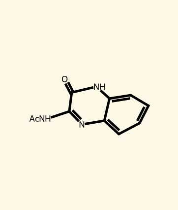 CC(=O)Nc1nc2ccccc2[nH]c1=O